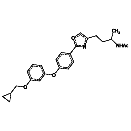 CC(=O)NC(C)CCc1coc(-c2ccc(Oc3cccc(OCC4CC4)c3)cc2)n1